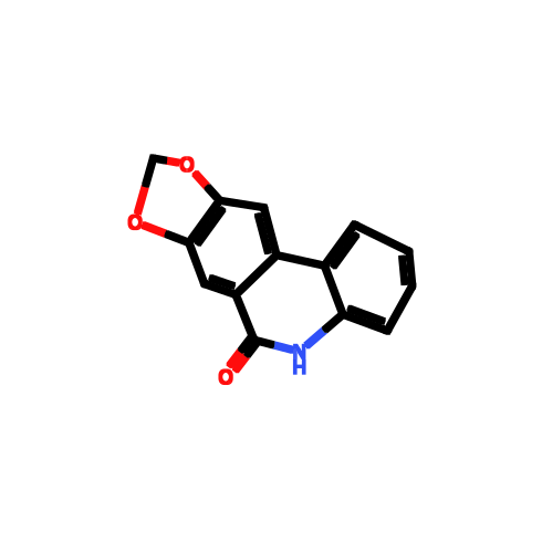 O=c1[nH]c2ccccc2c2cc3c(cc12)OCO3